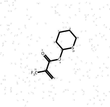 C=C(C(=O)OC1CCCCS1)C(F)(F)F